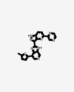 Cc1ccc(-c2cncc3[nH]c(-c4n[nH]c5ccc(-c6cnccn6)nc45)nc23)s1